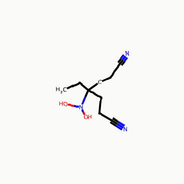 CCC(CCC#N)(CCC#N)N(O)O